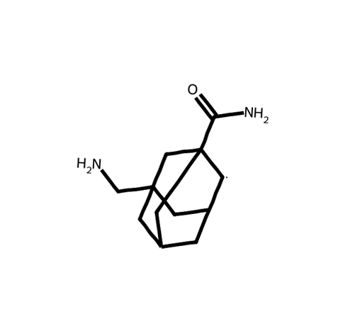 NCC12CC3[CH]C(C(N)=O)(CC(C3)C1)C2